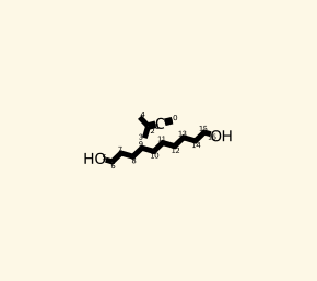 C=C=C(C)C.OCCCCCCCCCCO